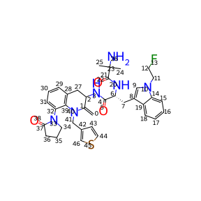 C=C1C(NC(=O)[C@@H](Cc2cn(CCF)c3ccccc23)NC(=O)C(C)(C)N)Cc2cccc(N3CCCC3=O)c2N1Cc1ccsc1